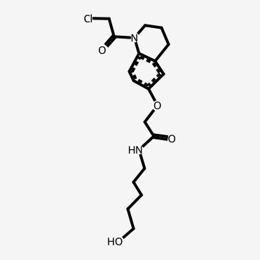 O=C(COc1ccc2c(c1)CCCN2C(=O)CCl)NCCCCCO